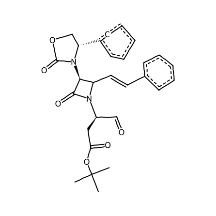 CC(C)(C)OC(=O)C[C@H](C=O)N1C(=O)[C@@H](N2C(=O)OC[C@@H]2c2ccccc2)C1/C=C/c1ccccc1